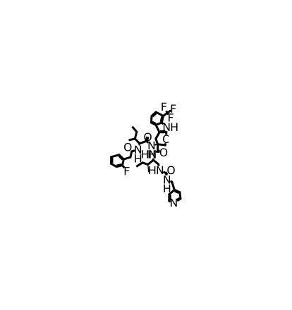 CCC(C)[C@H](NC(=O)Cc1ccccc1F)C(=O)N[C@]1(C(=O)NC(CNC(=O)NCc2ccncc2)[C@@H](C)CC)CCc2[nH]c3c(C(F)(F)F)cccc3c2C1